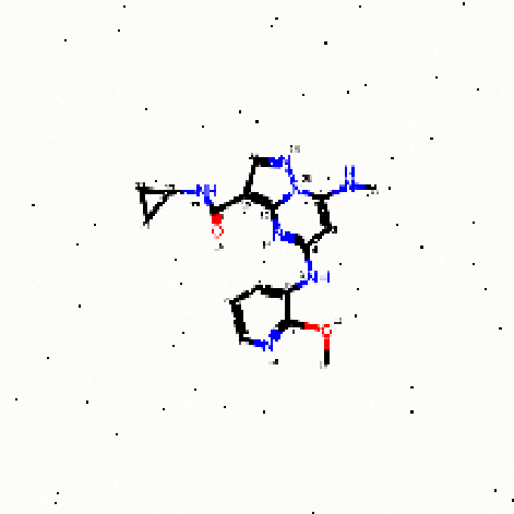 CNc1cc(Nc2cccnc2OC)nc2c(C(=O)NC3CC3)cnn12